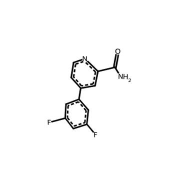 NC(=O)c1cc(-c2cc(F)cc(F)c2)ccn1